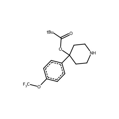 CC(C)(C)C(=O)OC1(c2ccc(OC(F)(F)F)cc2)CCNCC1